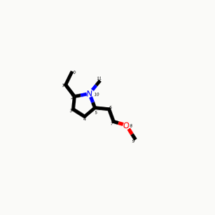 CCC1CCC(CCOC)N1C